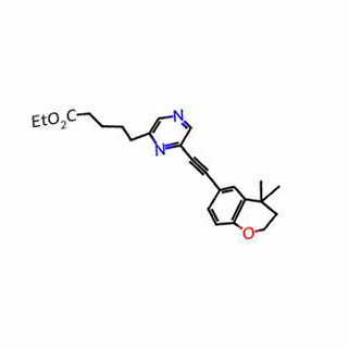 CCOC(=O)CCCCc1cncc(C#Cc2ccc3c(c2)C(C)(C)CCO3)n1